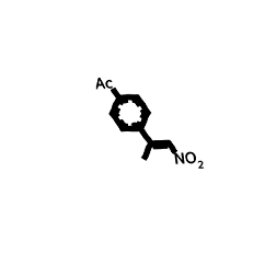 CC(=O)c1ccc(C(C)=C[N+](=O)[O-])cc1